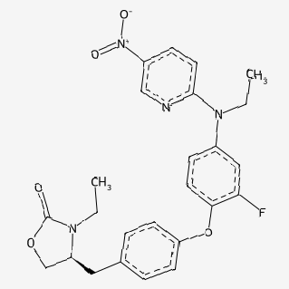 CCN(c1ccc(Oc2ccc(C[C@H]3COC(=O)N3CC)cc2)c(F)c1)c1ccc([N+](=O)[O-])cn1